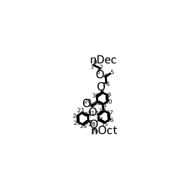 CCCCCCCCCCCCOC(C)COc1ccc(-c2ccccc2)c(C(=O)Oc2ccccc2OCCCCCCCC)c1